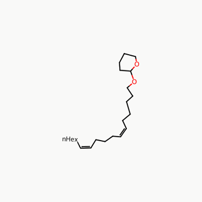 CCCCCC/C=C\CCC/C=C\CCCCCOC1CCCCO1